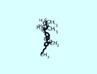 C=C(C)C(=O)OC(C)(C)CC(C)Oc1ccc2cc(-c3ccc(CCCCC)cc3OC)oc2c1